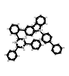 c1ccc(-c2ccc(-n3c4ccccc4c4cc(-c5ccccc5-c5nc(-c6ccccc6)nc(-c6ccccc6)n5)ccc43)cc2)cc1